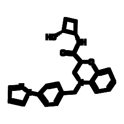 O=C(N[C@@H]1CC[C@H]1O)C1CN(Cc2ccc(-n3cccn3)cc2)c2ccccc2O1